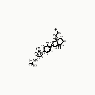 CC(=O)NC[C@H]1CN(c2ccc(N3C[C@@H]4CCCN(CCF)[C@@H]4C3)c(F)c2)C(=O)O1